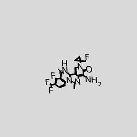 Cc1nc(N[C@H](C)c2cccc(C(F)F)c2F)c2cn(C3(CF)CC3)c(=O)c(N)c2n1